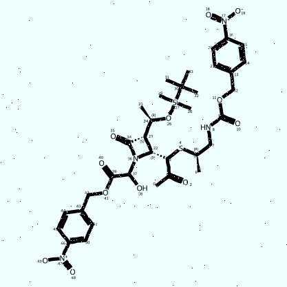 CC(=O)C(S[C@H](C)CNC(=O)OCc1ccc([N+](=O)[O-])cc1)[C@H]1[C@@H]([C@@H](C)O[Si](C)(C)C(C)(C)C)C(=O)N1C(O)C(=O)OCc1ccc([N+](=O)[O-])cc1